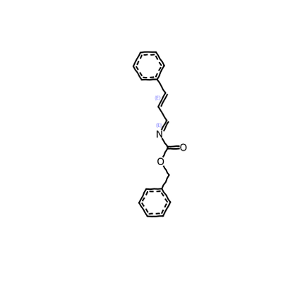 O=C(/N=C/C=C/c1ccccc1)OCc1ccccc1